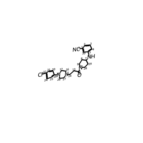 N#Cc1cccc(NC2CCN(C(=O)CCN3CCN(c4ccc(Cl)cc4)CC3)CC2)c1